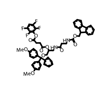 COc1ccc(C(OCC(CNC(=O)CCNC(=O)OCC2c3ccccc3-c3ccccc32)OC(=O)CCC(=O)Oc2c(F)c(F)cc(F)c2F)(c2ccccc2)c2ccc(OC)cc2)cc1